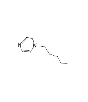 CCCCCN1C=CN=CC1